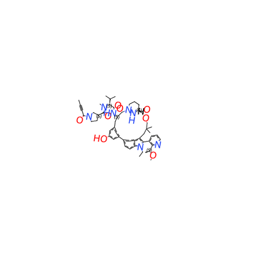 CC#CC(=O)N1CC[C@H](C(=O)N(C)[C@H](C(=O)N[C@H]2Cc3cc(O)cc(c3)-c3ccc4c(c3)c(c(-c3cccnc3[C@H](C)OC)n4CC)CC(C)(C)COC(=O)[C@@H]3CCCN(N3)C2=O)C(C)C)C1